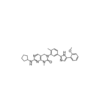 COc1ccccc1-c1cnc(-c2ccc(C)c(N3Cc4cnc(NC5CCCC5)nc4N(C)C3=O)c2)[nH]1